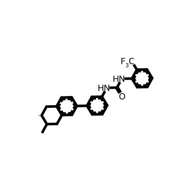 CC1[CH]Cc2ccc(-c3cccc(NC(=O)Nc4ccccc4C(F)(F)F)c3)cc2C1